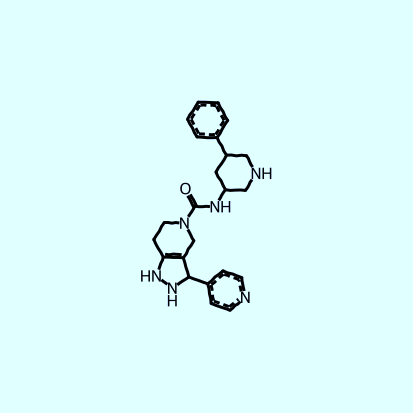 O=C(NC1CNCC(c2ccccc2)C1)N1CCC2=C(C1)C(c1ccncc1)NN2